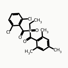 CCP(=O)(C(=O)c1c(C)cc(C)cc1C)C(=O)c1c(Cl)cccc1Cl